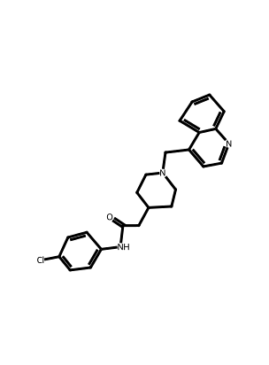 O=C(CC1CCN(Cc2ccnc3ccccc23)CC1)Nc1ccc(Cl)cc1